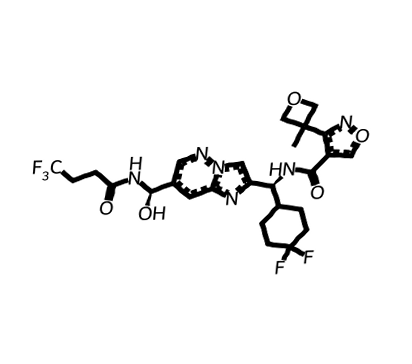 CC1(c2nocc2C(=O)N[C@H](c2cn3ncc([C@@H](O)NC(=O)CCC(F)(F)F)cc3n2)C2CCC(F)(F)CC2)COC1